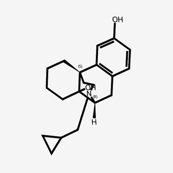 Oc1ccc2c(c1)[C@@]13CCCCC1(O)[C@@H](C2)N(CC1CC1)CC3